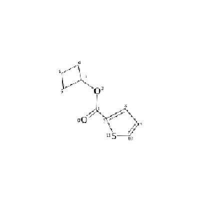 O=C(OC1CCC1)c1cccs1